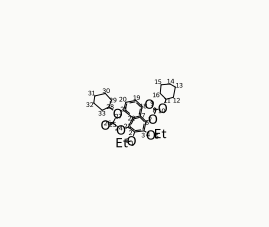 CCOc1c(OCC)c(OC(=O)OC2CCCCC2)c2ccccc2c1OC(=O)OC1CCCCC1